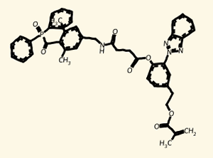 C=C(C)C(=O)OCCc1ccc(OC(=O)CCC(=O)NCc2cc(C)c(C(=O)P(=O)(c3ccccc3)c3ccccc3)c(C)c2)c(-n2nc3ccccc3n2)c1